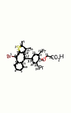 Cc1sc2c(Br)c3ccccc3c(-c3cc(C(C)C)c(OCC(=O)O)c(C(C)C)c3)c2c1C